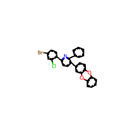 Clc1cc(Br)ccc1-c1ccc(-c2ccc3c(c2)Oc2ccccc2O3)c(-c2ccccc2)n1